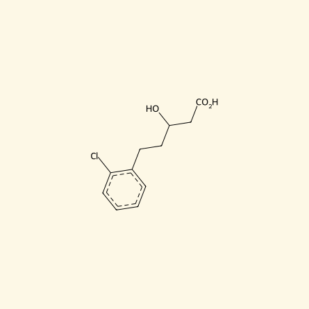 O=C(O)CC(O)CCc1ccccc1Cl